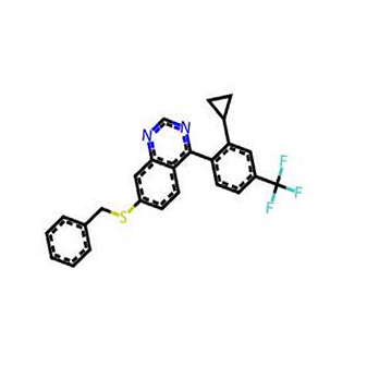 FC(F)(F)c1ccc(-c2ncnc3cc(SCc4ccccc4)ccc23)c(C2CC2)c1